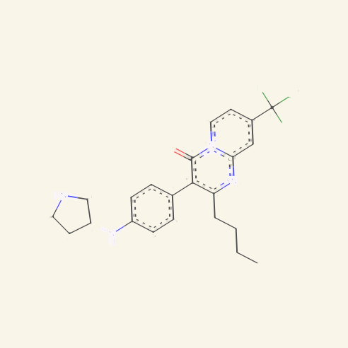 CCCCc1nc2cc(C(F)(F)F)ccn2c(=O)c1-c1ccc(N[C@@H]2CCNC2)cc1